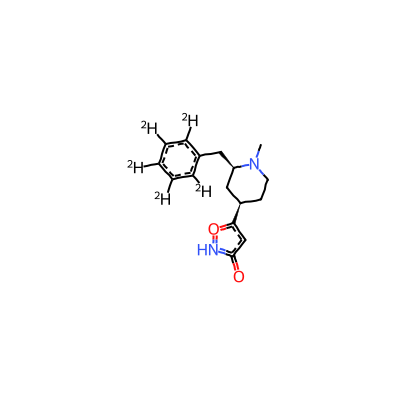 [2H]c1c([2H])c([2H])c(C[C@@H]2C[C@H](c3cc(=O)[nH]o3)CCN2C)c([2H])c1[2H]